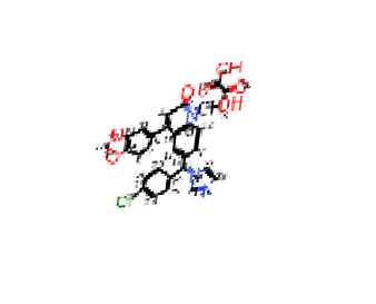 Cn1c(=O)cc(-c2ccc3c(c2)OCO3)c2cc(C(c3ccc(Cl)cc3)n3ccnc3)ccc21.O=C(O)C(=O)O